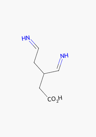 N=CCC(C=N)CC(=O)O